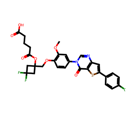 COc1cc(-n2cnc3cc(-c4ccc(Cl)cc4)sc3c2=O)ccc1OCC1(OC(=O)CCCC(=O)O)CC(F)(F)C1